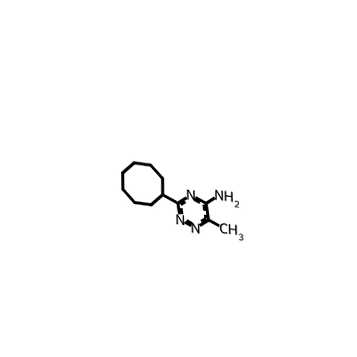 Cc1nnc(C2CCCCCCC2)nc1N